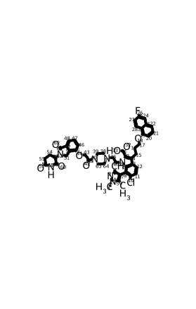 Cc1nn(C)c(C)c1-c1c(Cl)ccc2c(CCCOc3cccc4cc(F)ccc34)c(C(=O)O)n(CCN3CCN(C(=O)COc4cccc5c4CN([C@@H]4CCC(=O)NC4=O)C5=O)CC3)c12